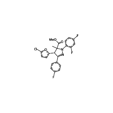 COC(=O)C1(C)C(c2ccc(Cl)o2)C(c2ccc(F)cc2)=NN1c1ccc(F)cc1F